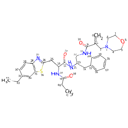 C=C(CN1CCOCC1)C(=O)NCC(Cc1ccccc1)NC(=O)C(Cc1nc2ccc(CC)cc2s1)NC(=O)CC